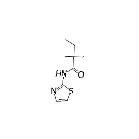 CCC(C)(C)C(=O)Nc1nccs1